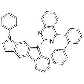 c1ccc(-c2ccccc2-c2nc(-n3c4ccccc4c4cc5ccn(-c6ccccc6)c5cc43)nc3ccccc23)cc1